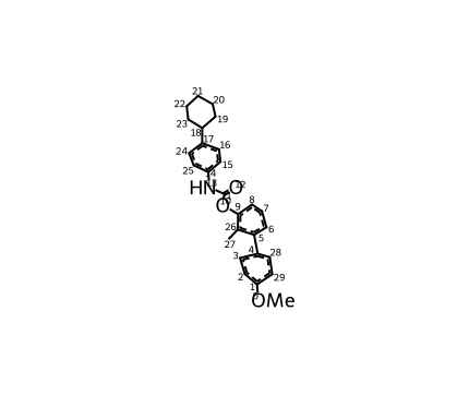 COc1ccc(-c2cccc(OC(=O)Nc3ccc(C4CCCCC4)cc3)c2C)cc1